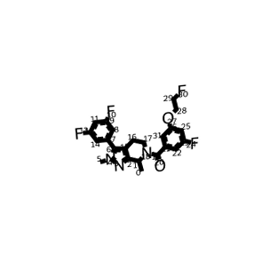 CC1c2nn(C)c(-c3cc(F)cc(F)c3)c2CCN1C(=O)c1cc(F)cc(OCCF)c1